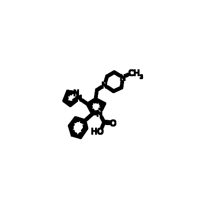 CN1CCN(Cc2cn(C(=O)O)c(-c3ccccc3)c2-n2cccn2)CC1